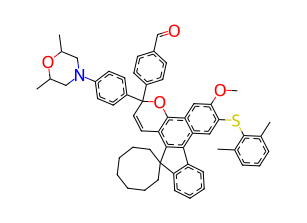 COc1cc2c3c(c4c(c2cc1Sc1c(C)cccc1C)-c1ccccc1C41CCCCCCC1)C=CC(c1ccc(C=O)cc1)(c1ccc(N2CC(C)OC(C)C2)cc1)O3